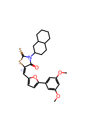 COc1cc(OC)cc(-c2ccc(/C=C3/SC(=S)N(C4CCC5CCCCC5C4)C3=O)o2)c1